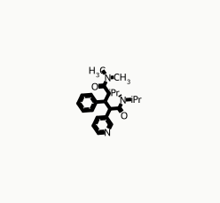 CC(C)N(C(=O)C(c1cccnc1)C(CC(=O)N(C)C)c1ccccc1)C(C)C